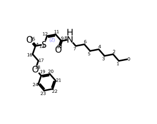 CCCCCCCCNC(=O)/C=C\SC(=O)CCOc1ccccc1